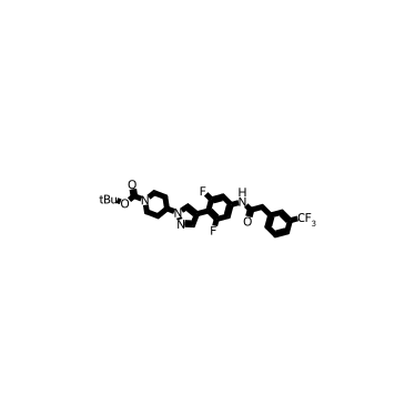 CC(C)(C)OC(=O)N1CCC(n2cc(-c3c(F)cc(NC(=O)Cc4cccc(C(F)(F)F)c4)cc3F)cn2)CC1